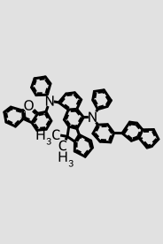 CC1(C)c2ccccc2-c2c1cc1c(N(c3ccccc3)c3cccc4c3oc3ccccc34)cccc1c2N(c1ccccc1)c1cccc(-c2ccc3ccccc3c2)c1